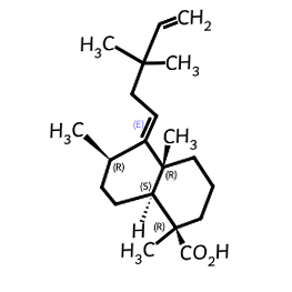 C=CC(C)(C)C/C=C1\[C@H](C)CC[C@@H]2[C@](C)(C(=O)O)CCC[C@@]12C